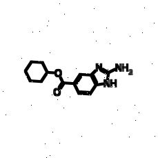 Nc1nc2cc(C(=O)OC3CCCCC3)ccc2[nH]1